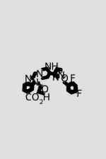 N.O=C(O)c1ccc2nc(CN3CCC(c4ccn(OCc5ccc(F)cc5F)n4)CC3)n(C[C@@H]3CCO3)c2c1